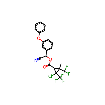 CC1(C(F)(F)F)C(C(=O)OC(C#N)c2cccc(Oc3ccccc3)c2)C1(Cl)C(F)(F)F